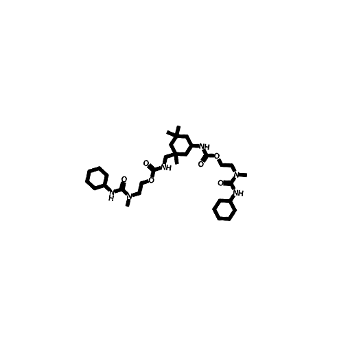 CN(CCOC(=O)NCC1(C)CC(NC(=O)OCCN(C)C(=O)NC2CCCCC2)CC(C)(C)C1)C(=O)NC1CCCCC1